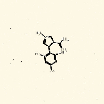 C=C(C)C1C[N+](C)=CC1c1c(O)cc(CCC)nc1O